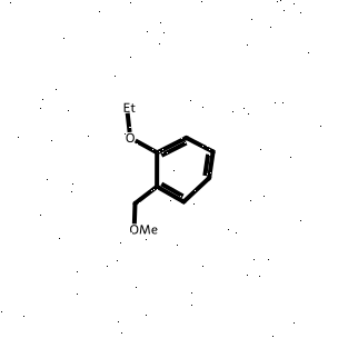 CCOc1ccccc1COC